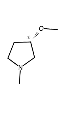 CO[C@H]1CCN(C)C1